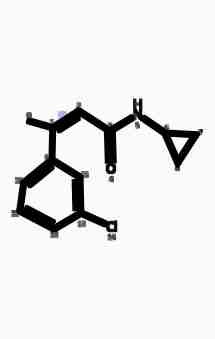 C/C(=C/C(=O)NC1CC1)c1cccc(Cl)c1